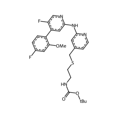 COc1cc(F)ccc1-c1cc(Nc2cc(CSCCNC(=O)OC(C)(C)C)ccn2)ncc1F